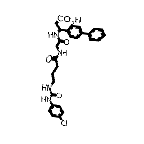 O=C(O)CC(NC(=O)CNC(=O)CCCNC(=O)Nc1ccc(Cl)cc1)c1ccc(-c2ccccc2)cc1